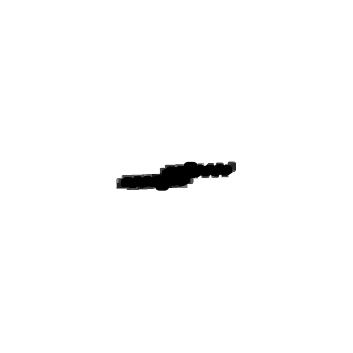 CCCCCCCCOc1ccc2cc(OCCCCCCCC)ccc2c1